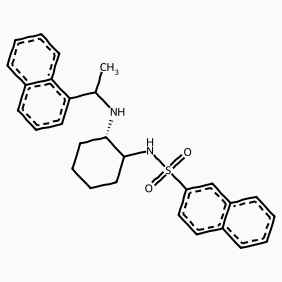 CC(N[C@H]1CCCCC1NS(=O)(=O)c1ccc2ccccc2c1)c1cccc2ccccc12